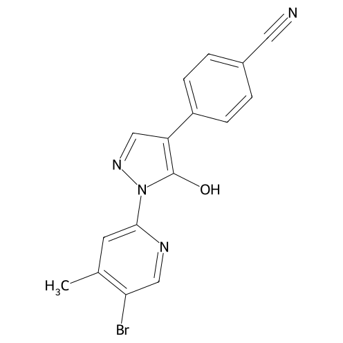 Cc1cc(-n2ncc(-c3ccc(C#N)cc3)c2O)ncc1Br